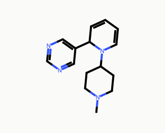 CN1CCC(N2C=CC=CC2c2cncnc2)CC1